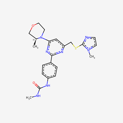 CNC(=O)Nc1ccc(-c2nc(CSc3nccn3C)cc(N3CCOC[C@@H]3C)n2)cc1